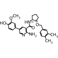 COc1cc(-c2cnc(N)c(C(=O)N[C@H]3CCC[C@@H]3OCc3ccc(C)c(C)c3)c2)ccc1O